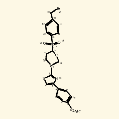 COc1ccc(-c2csc(N3CCC(S(=O)(=O)c4ccc(CBr)cc4)CC3)n2)cc1